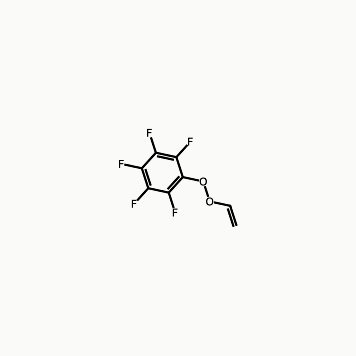 C=COOc1c(F)c(F)c(F)c(F)c1F